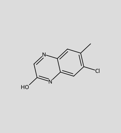 Cc1cc2ncc(O)nc2cc1Cl